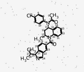 CC(=O)N(c1ccc(Cl)cc1)[C@@H]1C[C@H](C)N(C(=O)c2ccc3c(c2)C=NC3C(C)C)c2ccccc21